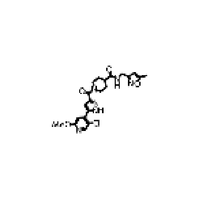 COc1cc(-c2cc(C(=O)N3CCC(C(=O)NCc4cc(C)on4)CC3)n[nH]2)c(Cl)cn1